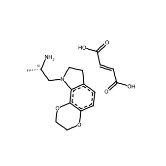 C[C@H](N)CN1CCc2ccc3c(c21)OCCO3.O=C(O)C=CC(=O)O